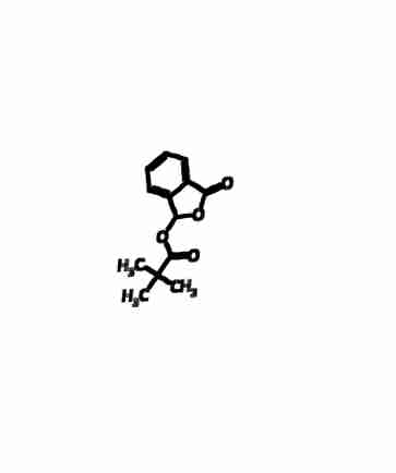 CC(C)(C)C(=O)OC1OC(=O)c2ccccc21